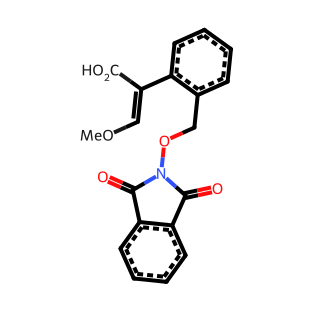 COC=C(C(=O)O)c1ccccc1CON1C(=O)c2ccccc2C1=O